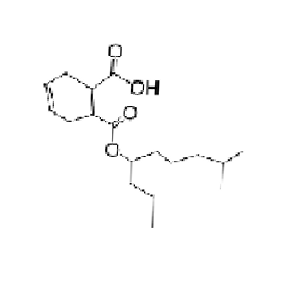 CCCC(CCCC(C)C)OC(=O)C1CC=CCC1C(=O)O